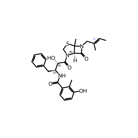 C/C=C(\C)CN1C(=O)[C@H]2N(C(=O)[C@@H](O)[C@H](Cc3ccccc3)NC(=O)c3cccc(O)c3C)CSC21C